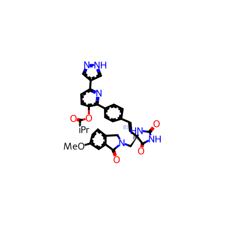 COc1ccc2c(c1)C(=O)N(C[C@@]1(/C=C/c3ccc(-c4nc(-c5cn[nH]c5)ccc4OC(=O)C(C)C)cc3)NC(=O)NC1=O)C2